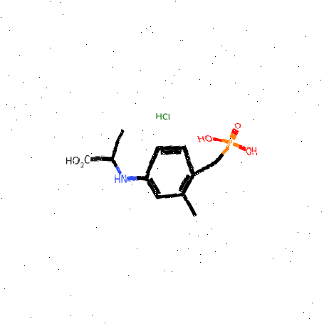 Cc1cc(NC(C)C(=O)O)ccc1CP(=O)(O)O.Cl